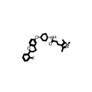 Cc1nn(C)c(C)c1CCC(=O)N[C@H]1CC[C@H](Oc2ccc3c(c2)CCC(c2ccccc2F)O3)CC1